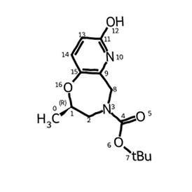 C[C@@H]1CN(C(=O)OC(C)(C)C)Cc2nc(O)ccc2O1